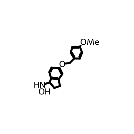 COc1ccc(COc2ccc3c(c2)CCC3NO)cc1